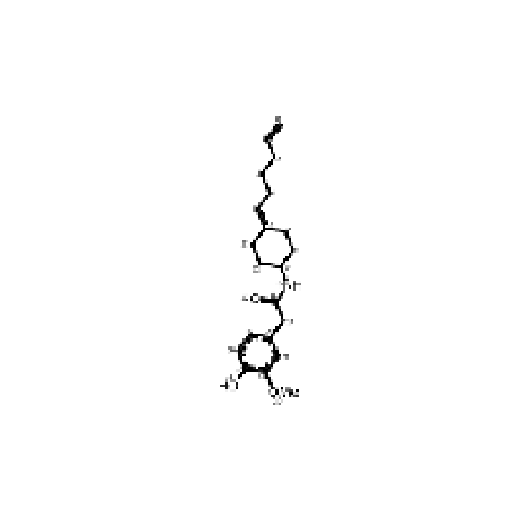 C=CCCCC=C1CCC(NC(=O)Cc2ccc(O)c(OC)c2)CC1